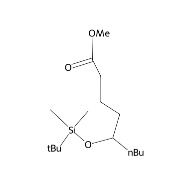 CCCCC(CCCC(=O)OC)O[Si](C)(C)C(C)(C)C